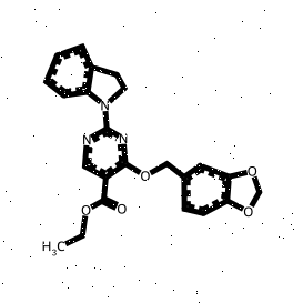 CCOC(=O)c1cnc(N2CCc3ccccc32)nc1OCc1ccc2c(c1)OCO2